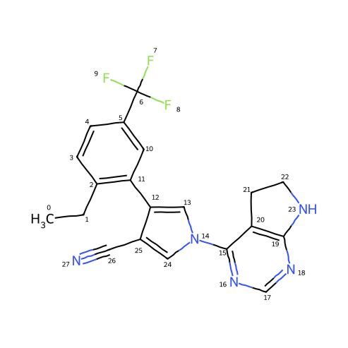 CCc1ccc(C(F)(F)F)cc1-c1cn(-c2ncnc3c2CCN3)cc1C#N